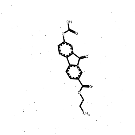 CCCOC(=O)c1ccc2c(c1)C(=O)c1cc(OC(=O)O)ccc1-2